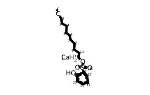 CCCCCCCCCCCCOS(=O)(=O)c1ccccc1O.[CaH2]